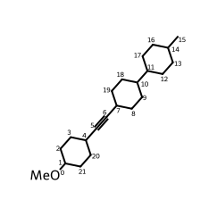 COC1CCC(C#CC2CCC(C3CCC(C)CC3)CC2)CC1